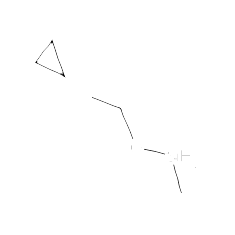 C1CC1.CCO[SiH2]C